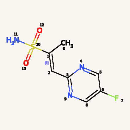 C/C(=C\c1ncc(F)cn1)S(N)(=O)=O